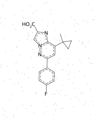 CC1(c2cc(-c3ccc(F)cc3)nn3cc(C(=O)O)nc23)CC1